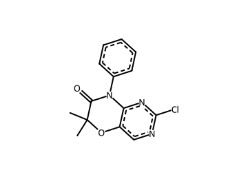 CC1(C)Oc2cnc(Cl)nc2N(c2ccccc2)C1=O